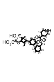 Cc1c(-c2cccc(OC(C3CCNCC3)S(=O)(=O)Cc3ccccc3)c2)sc(C(=O)O)c1OCC(=O)O